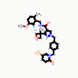 COc1ccc(C)c(CNC(=O)c2cn(Cc3ccc(Cn4cc(P)ccc4=O)cc3)nc2C2(C)COC2)c1F